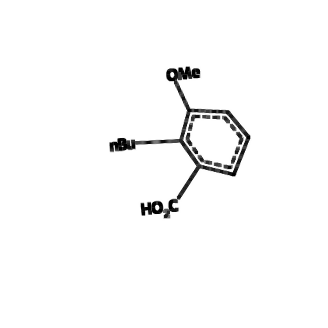 [CH2]CCCc1c(OC)cccc1C(=O)O